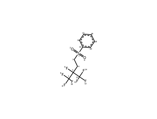 O=S(=O)(CCC(F)(C(F)(F)F)C(F)(F)F)c1ccccc1